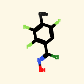 COc1c(F)cc(C(Cl)=NO)c(F)c1F